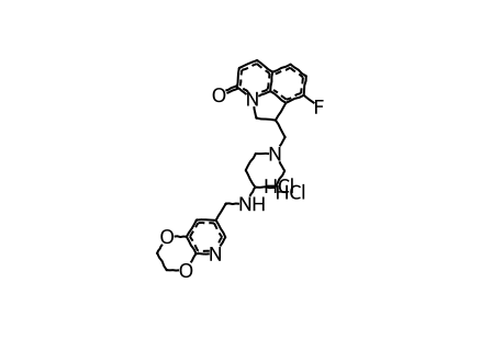 Cl.Cl.O=c1ccc2ccc(F)c3c2n1CC3CN1CCC(NCc2cnc3c(c2)OCCO3)CC1